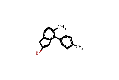 Cc1ccc2c(c1-c1ccc(C(F)(F)F)cc1)C=C(Br)C2